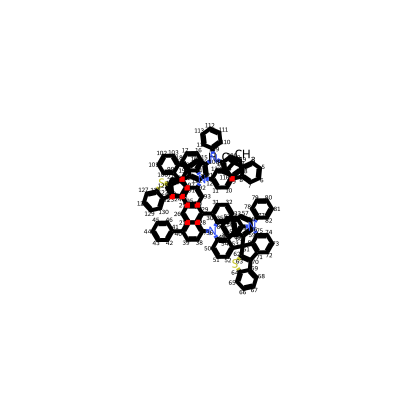 CC1(C)c2ccccc2-c2ccc(N(c3ccccc3-c3cccc(-c4cccc(-c5ccccc5N(c5ccc(-c6ccccc6)cc5)c5cccc6c5-c5ccccc5C65c6sc7ccccc7c6-c6cccc(N(c7ccccc7)c7ccccc7)c65)c4)c3)c3cccc4c3C3(c5ccccc5-c5cc(N(c6ccccc6)c6ccccc6)ccc53)c3sc5ccccc5c3-4)cc21